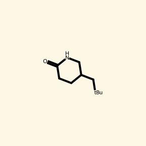 CC(C)(C)CC1CCC(=O)NC1